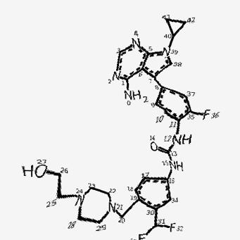 Nc1ncnc2c1c(-c1ccc(NC(=O)Nc3ccc(CN4CCN(CCO)CC4)c(C(F)F)c3)c(F)c1)cn2C1CC1